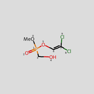 COP(=O)(CO)OC=C(Cl)Cl